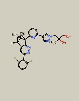 CC(O)(CO)Cn1cc(-c2cccc([C@@]34CC[C@@H](c5cc(-c6c(F)cccc6F)nnc53)C4(C)C)n2)cn1